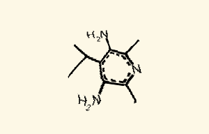 Cc1nc(C)c(N)c(C(C)C)c1N